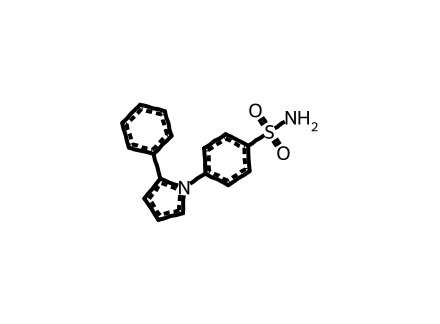 NS(=O)(=O)c1ccc(-n2cccc2-c2ccccc2)cc1